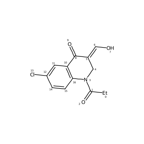 CCC(=O)N1CC(=CO)C(=O)c2cc(Cl)ccc21